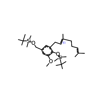 COc1cc(CO[Si](C)(C)C(C)(C)C)cc(C/C=C(\C)CCC=C(C)C)c1O[Si](C)(C)C(C)(C)C